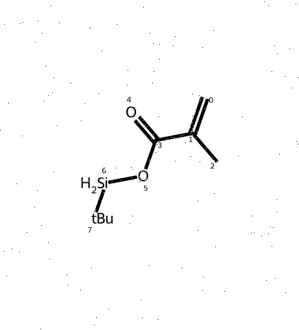 C=C(C)C(=O)O[SiH2]C(C)(C)C